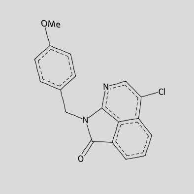 COc1ccc(CN2C(=O)c3cccc4c(Cl)cnc2c34)cc1